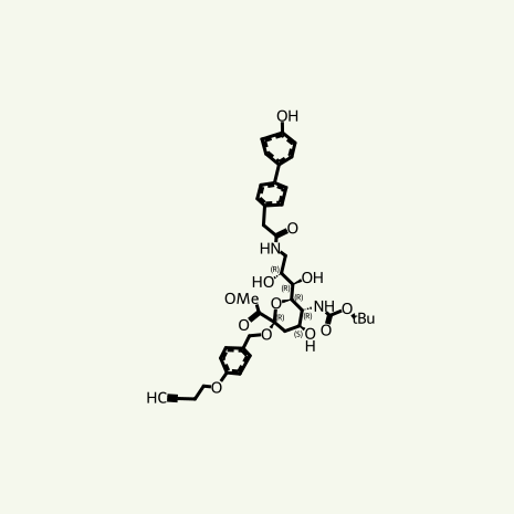 C#CCCOc1ccc(CO[C@]2(C(=O)OC)C[C@H](O)[C@@H](NC(=O)OC(C)(C)C)[C@H]([C@H](O)[C@H](O)CNC(=O)Cc3ccc(-c4ccc(O)cc4)cc3)O2)cc1